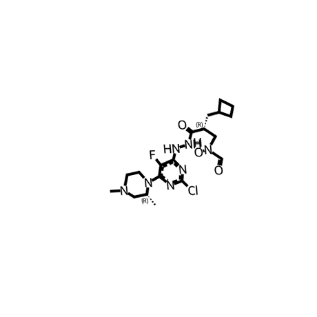 C[C@@H]1CN(C)CCN1c1nc(Cl)nc(NNC(=O)[C@H](CC2CCC2)CN(O)C=O)c1F